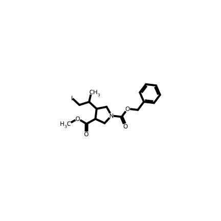 COC(=O)C1CN(C(=O)OCc2ccccc2)CC1C(C)CI